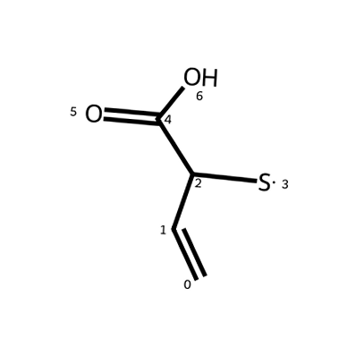 C=CC([S])C(=O)O